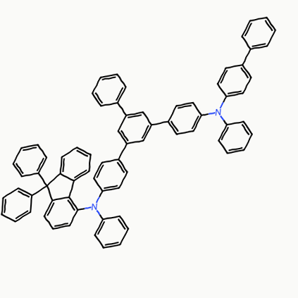 c1ccc(-c2ccc(N(c3ccccc3)c3ccc(-c4cc(-c5ccccc5)cc(-c5ccc(N(c6ccccc6)c6cccc7c6-c6ccccc6C7(c6ccccc6)c6ccccc6)cc5)c4)cc3)cc2)cc1